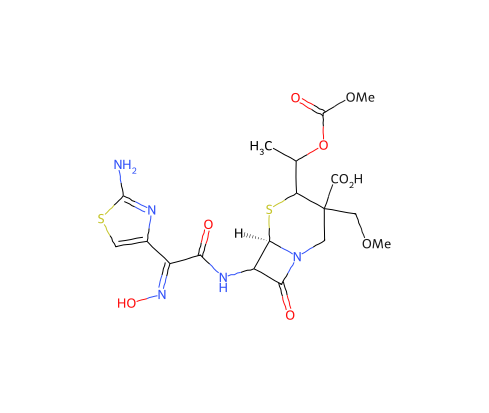 COCC1(C(=O)O)CN2C(=O)C(NC(=O)C(=NO)c3csc(N)n3)[C@H]2SC1C(C)OC(=O)OC